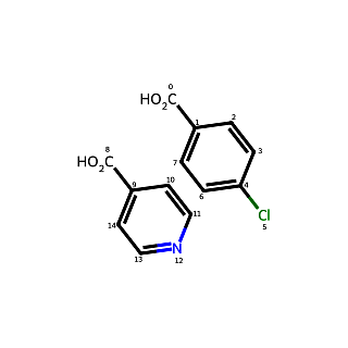 O=C(O)c1ccc(Cl)cc1.O=C(O)c1ccncc1